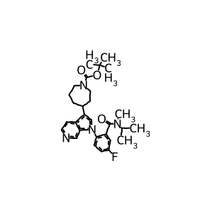 CC(C)N(C)C(=O)c1cc(F)ccc1-n1cc(C2CCCN(C(=O)OC(C)(C)C)CC2)c2ccncc21